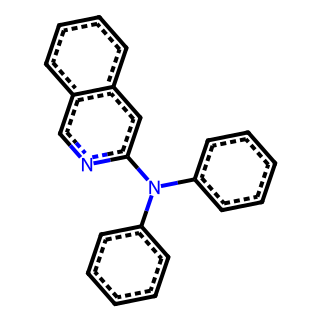 c1ccc(N(c2ccccc2)c2cc3ccccc3cn2)cc1